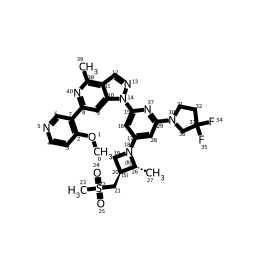 COc1ccncc1-c1cc2c(cnn2-c2cc(N3C[C@H](CS(C)(=O)=O)[C@H]3C)cc(N3CCC(F)(F)C3)n2)c(C)n1